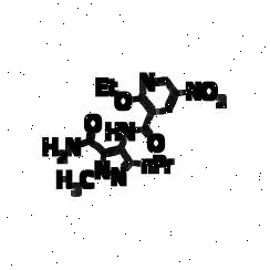 CCCc1nn(C)c(C(N)=O)c1NC(=O)c1cc([N+](=O)[O-])cnc1OCC